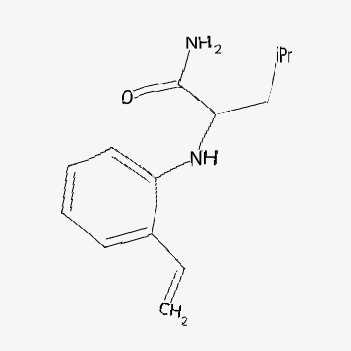 C=Cc1ccccc1NC(CC(C)C)C(N)=O